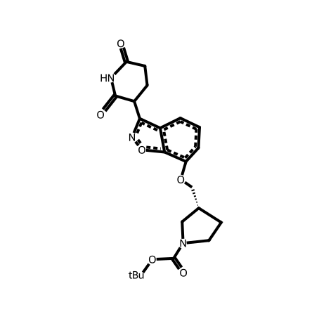 CC(C)(C)OC(=O)N1CC[C@@H](COc2cccc3c(C4CCC(=O)NC4=O)noc23)C1